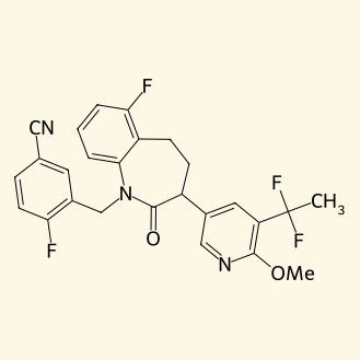 COc1ncc(C2CCc3c(F)cccc3N(Cc3cc(C#N)ccc3F)C2=O)cc1C(C)(F)F